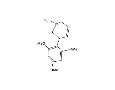 COc1cc(OC)c(C2C=CCN(C)C2)c(OC)c1